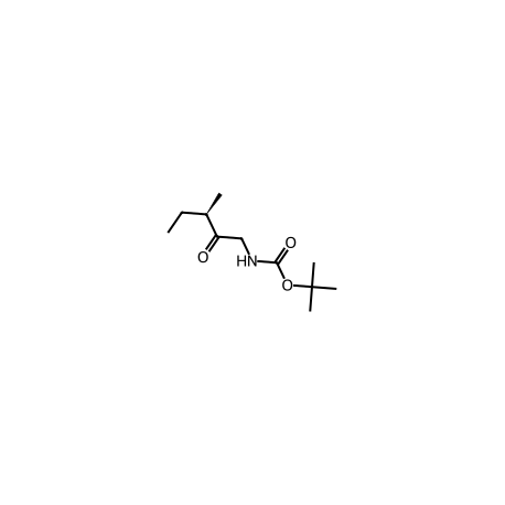 CC[C@@H](C)C(=O)CNC(=O)OC(C)(C)C